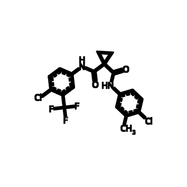 Cc1cc(NC(=O)C2(C(=O)Nc3ccc(Cl)c(C(F)(F)F)c3)CC2)ccc1Cl